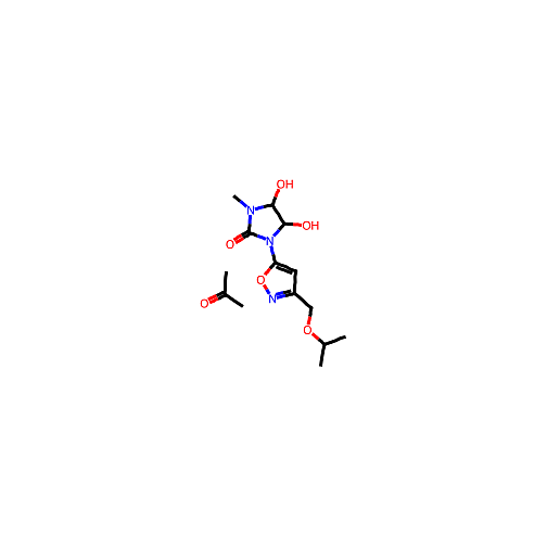 CC(C)=O.CC(C)OCc1cc(N2C(=O)N(C)C(O)C2O)on1